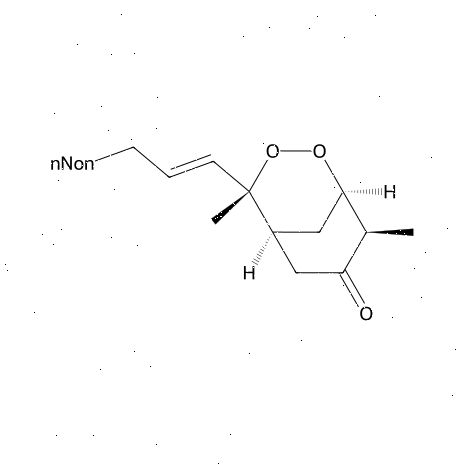 CCCCCCCCCC/C=C/[C@]1(C)OO[C@@H]2C[C@H]1CC(=O)[C@@H]2C